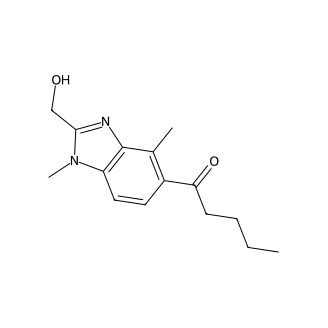 CCCCC(=O)c1ccc2c(nc(CO)n2C)c1C